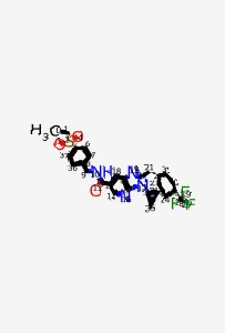 CCS(=O)(=O)c1ccc(CNC(=O)c2cnc3c(c2)nc(C[C@H]2CC[C@@H](C(F)(F)F)CC2)n3C2CC2)cc1